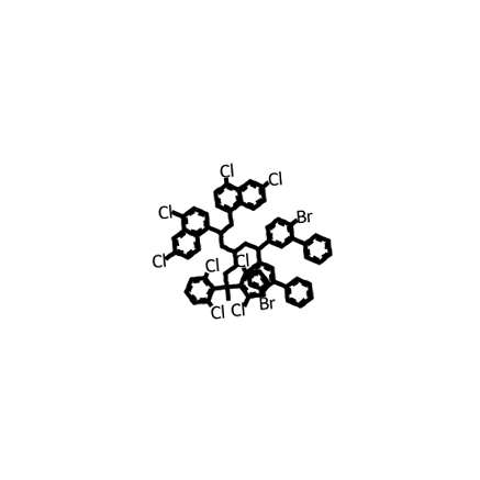 CC(CCC(CC(Cc1ccc(Cl)c2cc(Cl)ccc12)c1ccc(Cl)c2cc(Cl)ccc12)CC(c1ccc(Br)c(-c2ccccc2)c1)c1ccc(Br)c(-c2ccccc2)c1)(c1c(Cl)cccc1Cl)c1c(Cl)cccc1Cl